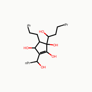 CCCC(O)C1=C(O)C(O)(C(O)CCC(C)C)C(CCC(C)C)C1O